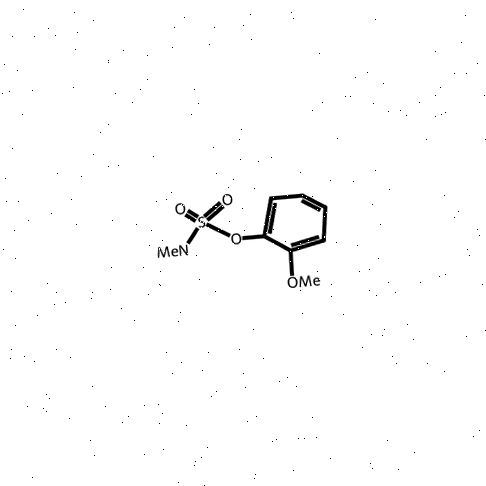 CNS(=O)(=O)Oc1ccccc1OC